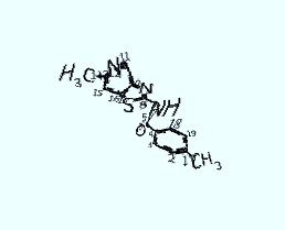 Cc1ccc(C(=O)Nc2nc3cnc(C)cc3s2)cc1